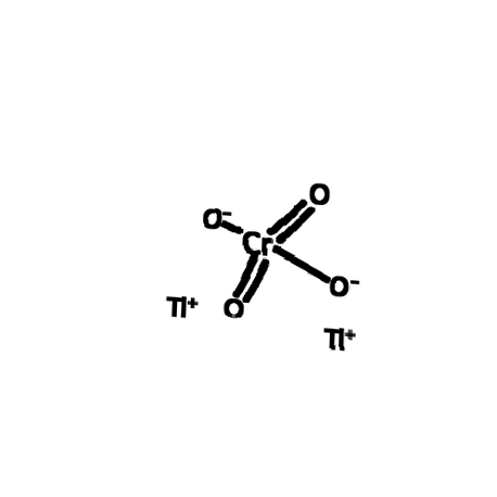 [O]=[Cr](=[O])([O-])[O-].[Tl+].[Tl+]